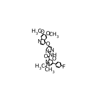 COc1cc2nccc(Oc3cnc(NC(=O)c4nn(C(C)C)cc(-c5ccc(F)cc5)c4=O)nc3)c2cc1OC